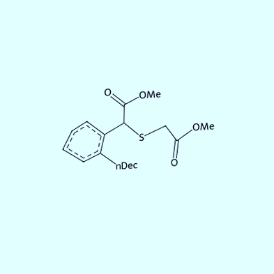 CCCCCCCCCCc1ccccc1C(SCC(=O)OC)C(=O)OC